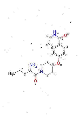 CCCC(N)C(=O)N1CCC(Oc2ccc3c(=O)[nH]ccc3c2)CC1